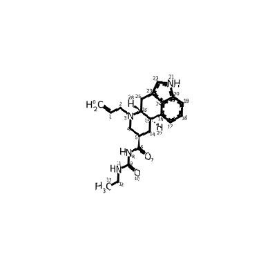 C=CCN1C[C@H](C(=O)NC(=O)NCC)C[C@@H]2c3cccc4[nH]cc(c34)C[C@H]21